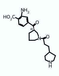 Nc1cc(C(=O)[C@@H]2CCCN(C(=O)CCC3CCNCC3)C2)ccc1C(=O)O